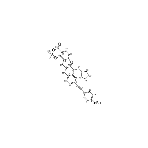 CCCCc1ccc(C#Cc2ccc(CN(Cc3cccc4c3OC(C)(C)OC4=O)C(=O)CCC3CCCC3)cc2)cc1